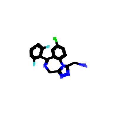 NCc1nnc2n1-c1ccc(Cl)cc1C(c1c(F)cccc1F)=NC2